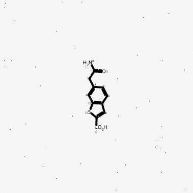 NC(=O)Cc1ccc2cc(C(=O)O)sc2c1